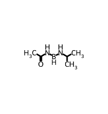 CC(=O)NBNC(C)C